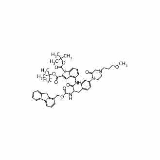 COCCCN1CCN(c2ccc(CC(NC(=O)OCc3cccc4c3Cc3ccccc3-4)C(=O)Nc3cccc4c3cc(C(=O)OC(C)(C)C)n4C(=O)OC(C)(C)C)cc2)C(=O)C1